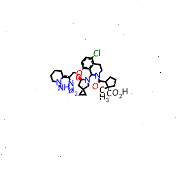 C[C@]1(C(=O)O)CCCC1C(=O)N1CCc2c(Cl)ccc(OC/C(N)=C3\CCCCN3N)c2C1N1CC2(CC2)CC1=O